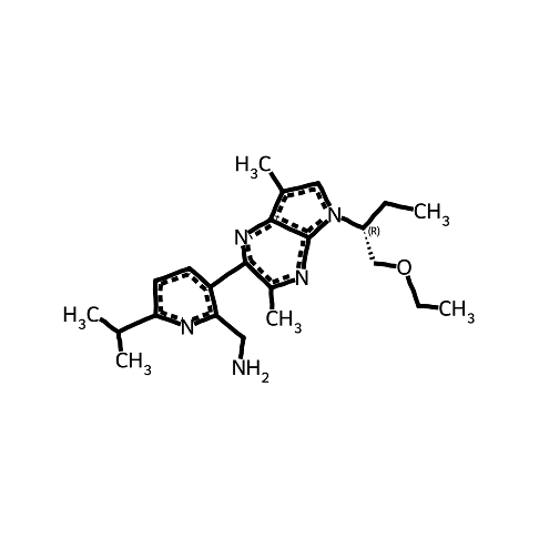 CCOC[C@@H](CC)n1cc(C)c2nc(-c3ccc(C(C)C)nc3CN)c(C)nc21